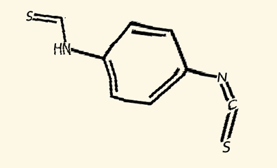 S=[C]Nc1ccc(N=C=S)cc1